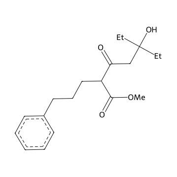 CCC(O)(CC)CC(=O)C(CCCc1ccccc1)C(=O)OC